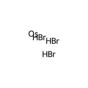 Br.Br.Br.[Os]